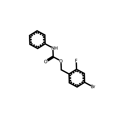 O=C(Nc1ccccc1)OCc1ccc(Br)cc1F